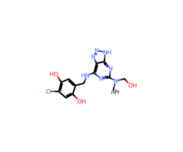 CCCN(CO)c1nc(NCc2cc(O)c(Cl)cc2O)c2nn[nH]c2n1